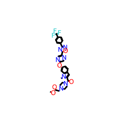 COC(=O)CN1CCN(C(=O)c2cc3ccc(Oc4cnc(-c5nc(-c6ccc(C(F)(F)F)cc6)no5)cn4)cc3n2C)CC1